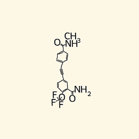 CNC(=O)c1ccc(C#Cc2ccc(OC(F)(F)F)c(C(N)=O)c2)cc1